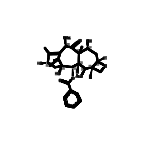 CC(=O)O[C@H]1C(=O)[C@@]2(C)[C@@H]([C@H](OC(C)=O)[C@@H]3CO[C@@H]3C[C@@H]2O)[C@H](OC(=O)c2ccccc2)[C@]2(O)C[C@H](O)C(C)=C1C2(C)C